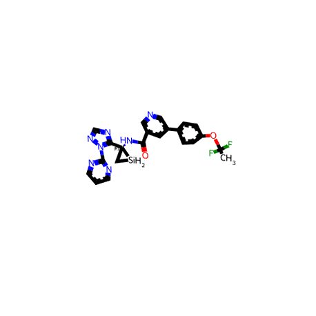 CC(F)(F)Oc1ccc(-c2cncc(C(=O)N[C@@]3(c4ncnn4-c4ncccn4)C[SiH2]3)c2)cc1